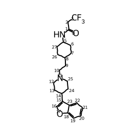 O=C(CC(F)(F)F)NC1CCC(CCN2CCC(c3coc4ccccc34)CC2)CC1